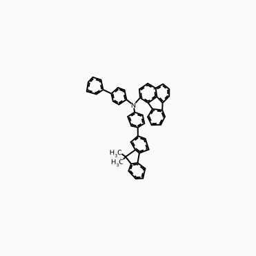 CC1(C)c2ccccc2-c2ccc(-c3ccc(N(c4ccc(-c5ccccc5)cc4)c4ccc5cccc6c5c4-c4ccccc4-6)cc3)cc21